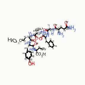 CC[C@H](C)[C@H](NC(=O)[C@H](Cc1ccccc1)NC(=O)[C@H](C)NC(=O)[C@@H](N)CCC(N)=O)C(=O)N[C@@H](CCC(=O)O)C(=O)N[C@@H](Cc1ccc(O)cc1)C(=O)N[C@@H](CC(C)C)C(=O)O